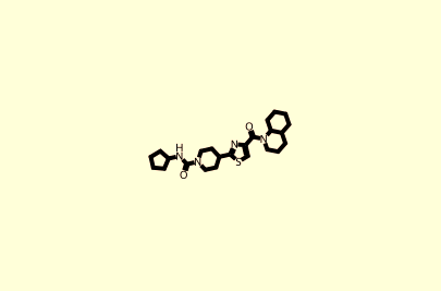 O=C(NC1CCCC1)N1CCC(c2nc(C(=O)N3CCCC4CCCCC43)cs2)CC1